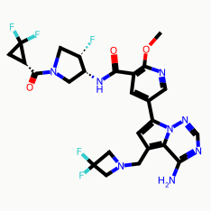 COc1ncc(-c2cc(CN3CC(F)(F)C3)c3c(N)ncnn23)cc1C(=O)N[C@@H]1CN(C(=O)[C@@H]2CC2(F)F)C[C@@H]1F